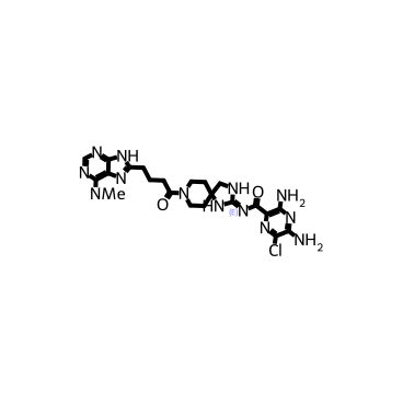 CNc1ncnc2[nH]c(CCCC(=O)N3CCC4(CC3)CN/C(=N\C(=O)c3nc(Cl)c(N)nc3N)N4)nc12